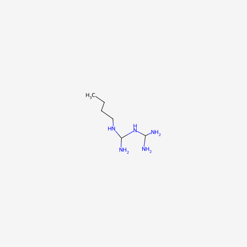 CCCCNC(N)NC(N)N